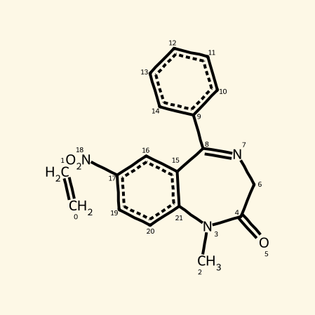 C=C.CN1C(=O)CN=C(c2ccccc2)c2cc([N+](=O)[O-])ccc21